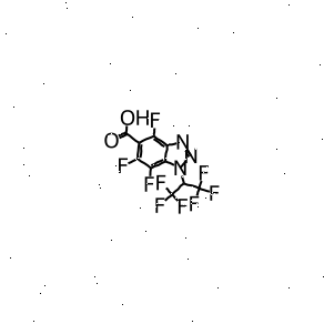 O=C(O)c1c(F)c(F)c2c(nnn2C(C(F)(F)F)C(F)(F)F)c1F